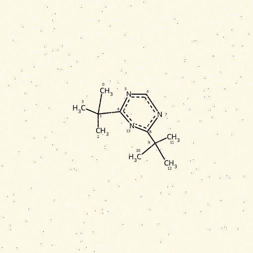 CC(C)(C)c1ncnc(C(C)(C)C)n1